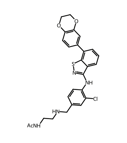 CC(=O)NCCNCc1ccc(Nc2nsc3c(-c4ccc5c(c4)OCCO5)cccc23)c(Cl)c1